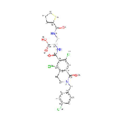 O=C(NC[C@H](NC(=O)c1c(Cl)cc2c(c1Cl)CCN(Cc1ccc(Cl)cc1)C2=O)C(=O)O)C1=CCCS1